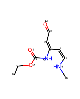 CCOC(=O)NC(/C=C\NC)=C/C=O